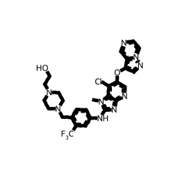 Cn1c(Nc2ccc(CN3CCN(CCO)CC3)c(C(F)(F)F)c2)nc2ncc(Oc3cnn4ccncc34)c(Cl)c21